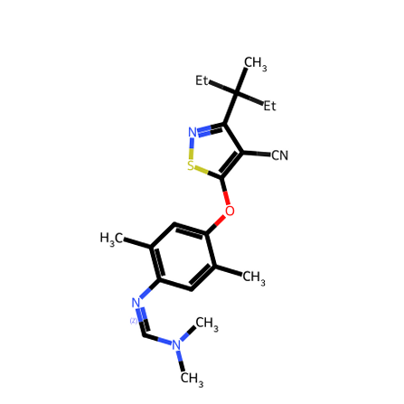 CCC(C)(CC)c1nsc(Oc2cc(C)c(/N=C\N(C)C)cc2C)c1C#N